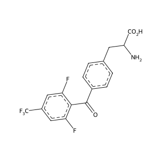 NC(Cc1ccc(C(=O)c2c(F)cc(C(F)(F)F)cc2F)cc1)C(=O)O